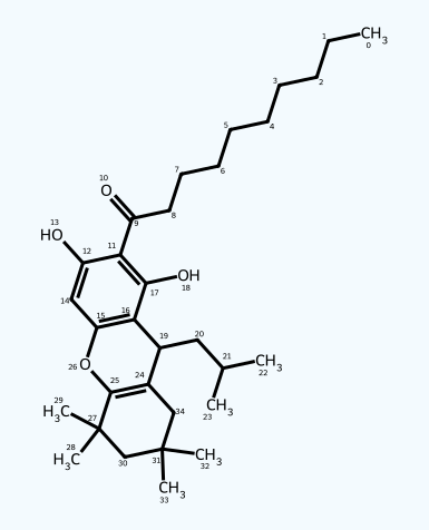 CCCCCCCCCC(=O)c1c(O)cc2c(c1O)C(CC(C)C)C1=C(O2)C(C)(C)CC(C)(C)C1